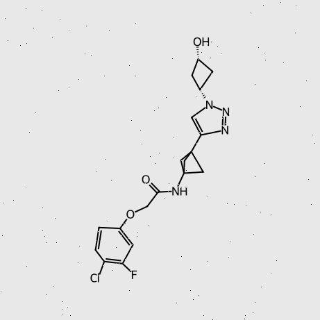 O=C(COc1ccc(Cl)c(F)c1)NC12CC(c3cn([C@H]4C[C@@H](O)C4)nn3)(C1)C2